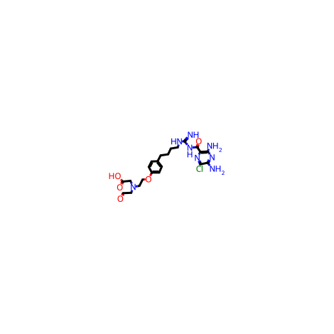 N=C(NCCCCc1ccc(OCCN(CC=O)CC(=O)O)cc1)NC(=O)c1nc(Cl)c(N)nc1N